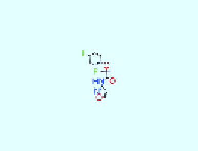 CC(C)(Oc1ccc(F)cc1F)C(=O)Nc1ccon1